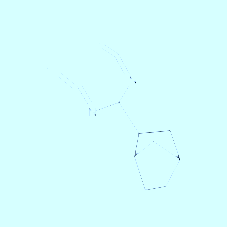 O=C=NC(N=C=O)C1CC2CCC1C2